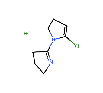 Cl.ClC1=CCCN1C1=NCCC1